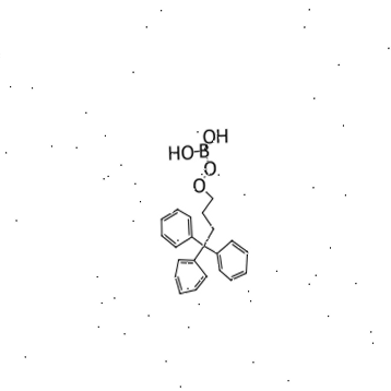 OB(O)OOCCCC(c1ccccc1)(c1ccccc1)c1ccccc1